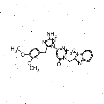 COc1ccc(Cc2nc(N)nn2-c2cc(=O)n(Cc3nc4ccccc4n3C)cn2)cc1OC